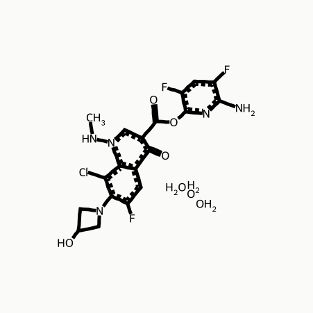 CNn1cc(C(=O)Oc2nc(N)c(F)cc2F)c(=O)c2cc(F)c(N3CC(O)C3)c(Cl)c21.O.O.O